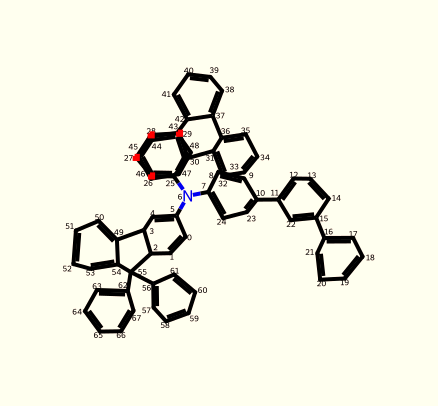 C1=CC2C(C=C1N(c1ccc(-c3cccc(-c4ccccc4)c3)cc1)c1ccccc1-c1ccccc1-c1ccccc1-c1ccccc1)c1ccccc1C2(c1ccccc1)c1ccccc1